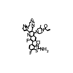 C=CC(=O)N1CCN(c2c(C#N)c(-c3ccnn3CCN(C)C)nc3c(F)c(-c4ccc(F)c5sc(N)nc45)c(Cl)cc23)CC1C